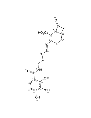 O=C(O)C1=C(C=NOCCNC(=O)c2ccc(O)c(O)c2Cl)CSC2CC(=O)N12